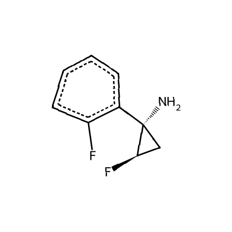 N[C@]1(c2ccccc2F)C[C@H]1F